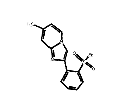 CCS(=O)(=O)c1ccccc1-c1cn2ccc(C)cc2n1